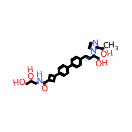 CC(O)c1nccn1C(/C=C/c1ccc(-c2ccc(C3CC(C(=O)NCC(O)CO)C3)cc2)cc1)CO